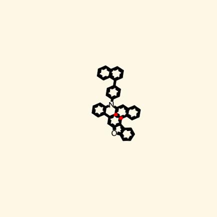 c1ccc(N(c2ccc(-c3cccc4ccccc34)cc2)c2ccc3ccccc3c2)c(-c2ccc3c(c2)oc2ccccc23)c1